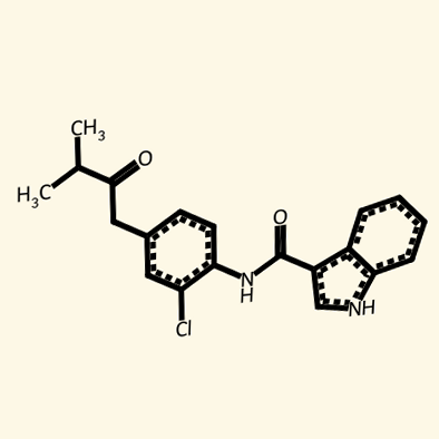 CC(C)C(=O)Cc1ccc(NC(=O)c2c[nH]c3ccccc23)c(Cl)c1